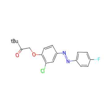 CC(C)(C)C(=O)COc1ccc(N=Nc2ccc(F)cc2)cc1Cl